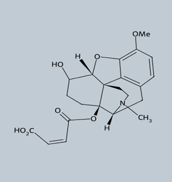 COc1ccc2c3c1O[C@H]1C(O)CC[C@@]4(OC(=O)/C=C\C(=O)O)[C@@H](C2)N(C)CC[C@]314